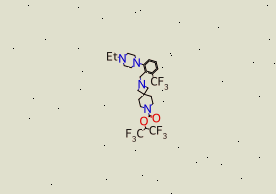 CCN1CCN(c2cccc(C(F)(F)F)c2CN2CC3(CCN(C(=O)OC(C(F)(F)F)C(F)(F)F)CC3)C2)CC1